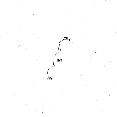 CC=CCNCCCC.Cl